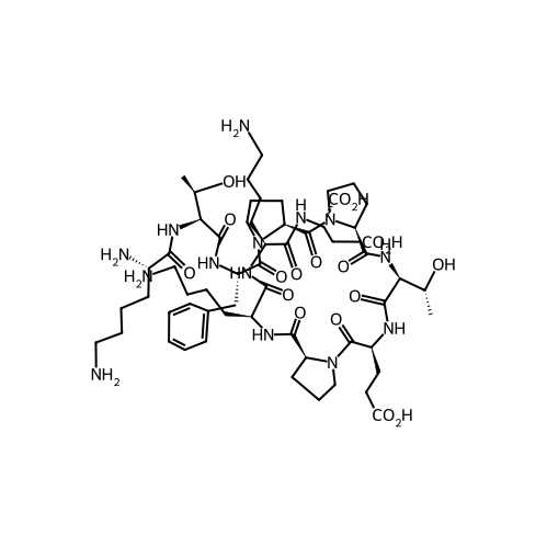 C[C@@H](O)[C@H](NC(=O)[C@@H](N)CCCCN)C(=O)N[C@@H](Cc1ccccc1)C(=O)N1CCC[C@H]1C(=O)N1CCC[C@H]1C(=O)N[C@H](C(=O)N[C@@H](CCC(=O)O)C(=O)N1CCC[C@H]1C(=O)N[C@@H](CCCCN)C(=O)N[C@@H](CCCCN)C(=O)N[C@@H](CC(=O)O)C(=O)O)[C@@H](C)O